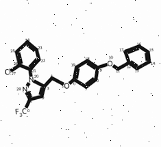 FC(F)(F)c1cc(COc2ccc(OCc3ccccc3)cc2)n(-c2ccccc2Cl)n1